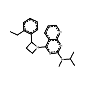 CCc1ccccc1C1CCN1c1nc(N(C)C(C)C)nc2ncccc12